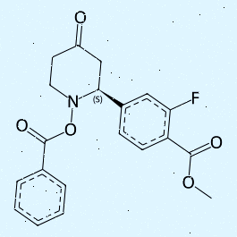 COC(=O)c1ccc([C@@H]2CC(=O)CCN2OC(=O)c2ccccc2)cc1F